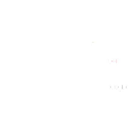 CCOC(=O)C(O)c1ccc(-c2ccccc2)cc1F